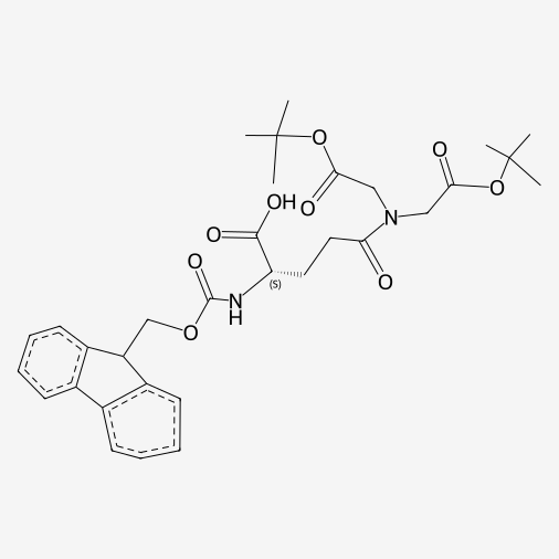 CC(C)(C)OC(=O)CN(CC(=O)OC(C)(C)C)C(=O)CC[C@H](NC(=O)OCC1c2ccccc2-c2ccccc21)C(=O)O